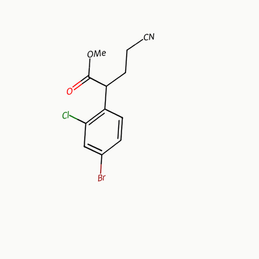 COC(=O)C(CCC#N)c1ccc(Br)cc1Cl